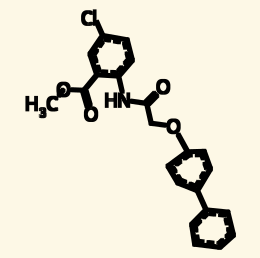 COC(=O)c1cc(Cl)ccc1NC(=O)COc1ccc(-c2ccccc2)cc1